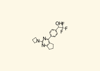 OC(c1ccc(-c2nc(N3CCC3)nc3c2CCC3)cc1)C(F)(F)F